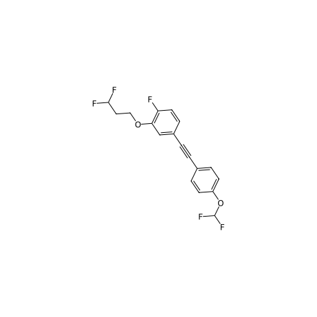 Fc1ccc(C#Cc2ccc(OC(F)F)cc2)cc1OCCC(F)F